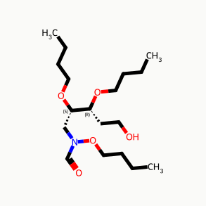 CCCCO[C@@H](CN(C=O)OCCCC)[C@@H](CCO)OCCCC